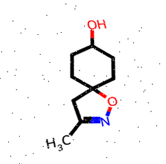 CC1=NOC2(CCC(O)CC2)C1